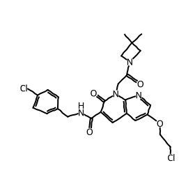 CC1(C)CN(C(=O)Cn2c(=O)c(C(=O)NCc3ccc(Cl)cc3)cc3cc(OCCCl)cnc32)C1